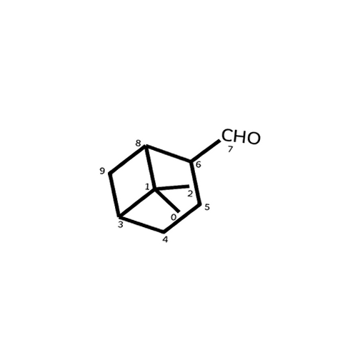 CC1(C)C2CCC(C=O)C1C2